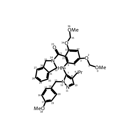 COCOc1cc(Nc2c(C(C)C)cnn2Cc2ccc(OC)cc2)c(C(=O)N2Cc3ccccc3C2)c(OCOC)c1